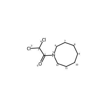 O=C(C(Cl)Cl)N1CCCCCCC1